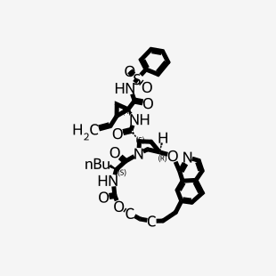 C=CC1C[C@]1(NC(=O)[C@@H]1C[C@@H]2CN1C(=O)[C@H](CCCC)NC(=O)OCCCCCc1ccc3ccnc(c3c1)O2)C(=O)NS(=O)(=O)c1ccccc1